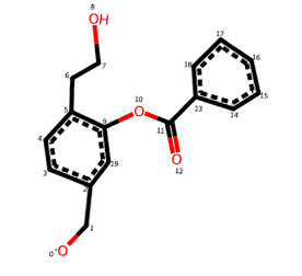 [O]Cc1ccc(CCO)c(OC(=O)c2ccccc2)c1